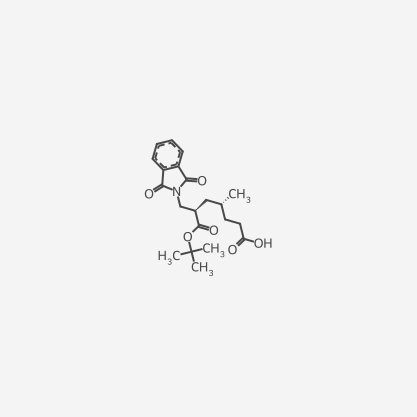 C[C@H](CCC(=O)O)C[C@H](CN1C(=O)c2ccccc2C1=O)C(=O)OC(C)(C)C